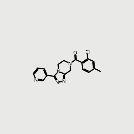 Cc1ccc(C(=O)N2CCn3c(nnc3-c3cccnc3)C2)c(Cl)c1